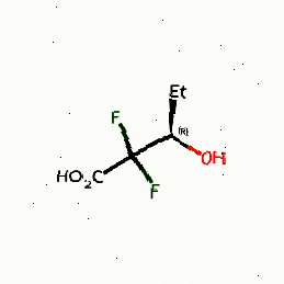 CC[C@@H](O)C(F)(F)C(=O)O